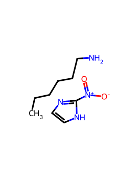 CCCCCCN.O=[N+]([O-])c1ncc[nH]1